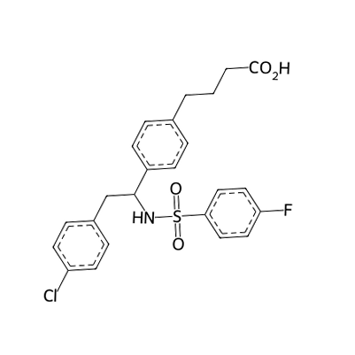 O=C(O)CCCc1ccc(C(Cc2ccc(Cl)cc2)NS(=O)(=O)c2ccc(F)cc2)cc1